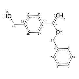 C=C(OCc1ccccc1)c1ccc(CO)cc1